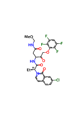 CC[C@@H](C(=O)NC(CC(=O)NCOC)C(=O)COc1c(F)c(F)cc(F)c1F)n1ccc2ccc(Cl)cc2c1=O